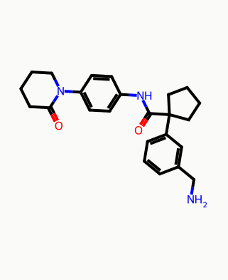 NCc1cccc(C2(C(=O)Nc3ccc(N4CCCCC4=O)cc3)CCCC2)c1